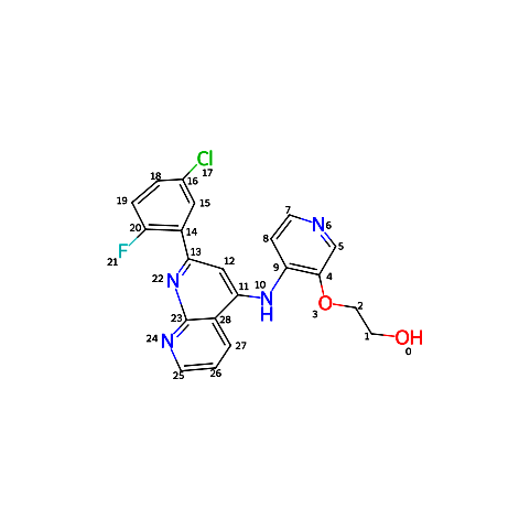 OCCOc1cnccc1Nc1cc(-c2cc(Cl)ccc2F)nc2ncccc12